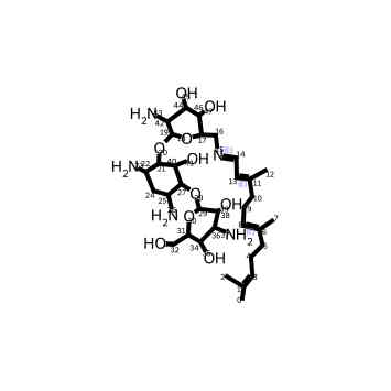 CC(C)=CCC/C(C)=C/CC/C(C)=C/C=N/CC1OC(OC2C(N)CC(N)C(OC3OC(CO)C(O)C(N)C3O)C2O)C(N)C(O)C1O